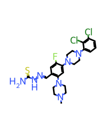 CN1CCN(c2cc(N3CCN(c4cccc(Cl)c4Cl)CC3)c(F)cc2/C=N/NC(N)=S)CC1